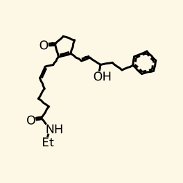 CCNC(=O)CCC/C=C\CC1=C(C=CC(O)CCc2ccccc2)CCC1=O